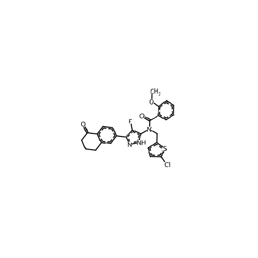 COc1ccccc1C(=O)N(Cc1ccc(Cl)s1)c1[nH]nc(-c2ccc3c(c2)CCCC3=O)c1F